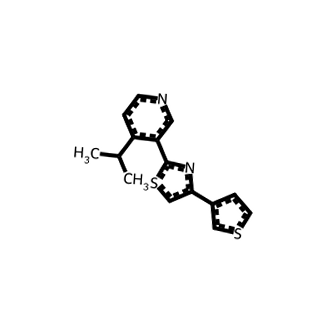 CC(C)c1ccncc1-c1nc(-c2ccsc2)cs1